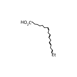 CC/C=C/C/C=C/C/C=C/C/C=C\CCCCCCC(=O)O